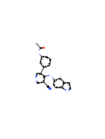 CC(=O)Nc1cccc(-c2cncc(C#N)c2Nc2ccc3[nH]ccc3c2)c1